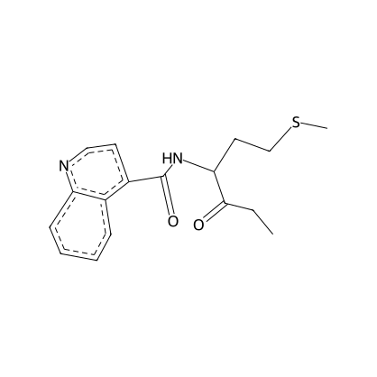 CCC(=O)C(CCSC)NC(=O)c1ccnc2ccccc12